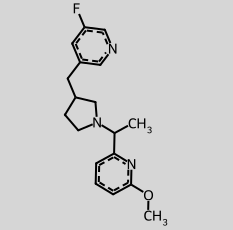 COc1cccc(C(C)N2CCC(Cc3cncc(F)c3)C2)n1